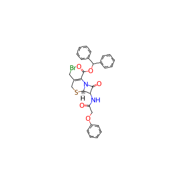 O=C(COc1ccccc1)NC1C(=O)N2C(C(=O)OC(c3ccccc3)c3ccccc3)=C(CBr)CS[C@H]12